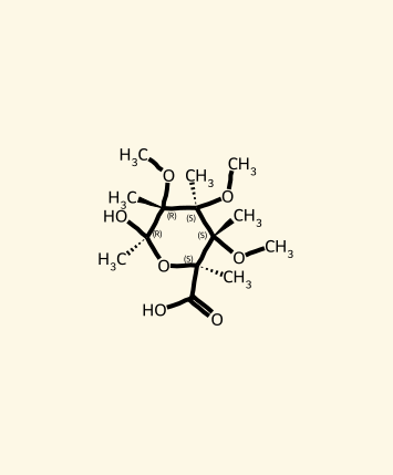 CO[C@@]1(C)[C@](C)(OC)[C@@](C)(C(=O)O)O[C@@](C)(O)[C@]1(C)OC